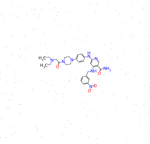 CCN(CC)CC(=O)N1CCN(c2ccc(Nc3cc(NCc4cccc([N+](=O)[O-])c4)c(C(N)=O)cn3)cc2)CC1